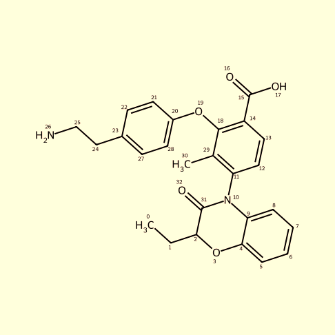 CCC1Oc2ccccc2N(c2ccc(C(=O)O)c(Oc3ccc(CCN)cc3)c2C)C1=O